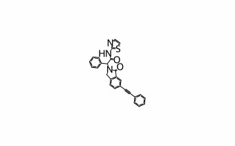 O=C(Nc1nccs1)C(c1ccccc1)N1Cc2ccc(C#Cc3ccccc3)cc2C1=O